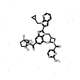 COc1cc(C(=O)N2C[C@H]3CC[C@@H]2[C@@H]3N)cc2nc(-c3cc4cccnc4n3CC3CC3)n(CC3CN(C(=O)c4ccnc(N)n4)C3)c12